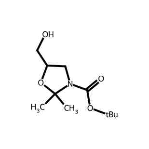 CC(C)(C)OC(=O)N1CC(CO)OC1(C)C